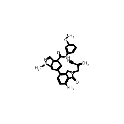 C=C(C#N)CN1Cc2c(-c3cc(C(=O)Nc4cccc(OC)c4)c4cnn(C)c4c3)ccc(N)c2C1=O